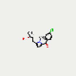 CC(O)CCc1ccc(C(=O)c2ccc(Cl)cc2)n1C